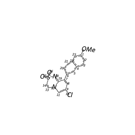 COc1ccc2cc(C3=CC(Cl)=CN4C=CS(=O)(=O)N=C34)ccc2c1